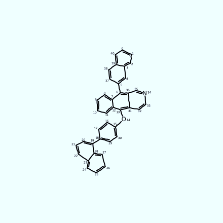 c1ccc2cc(-c3c4ccccc4c(Oc4ccc(-c5cccc6ccccc56)cc4)c4ccncc34)ccc2c1